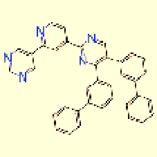 c1ccc(-c2cccc(-c3cnc(-c4ccnc(-c5cncnc5)c4)nc3-c3cccc(-c4ccccc4)c3)c2)cc1